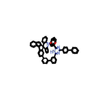 C1=CC(c2ccc3c(c2)C2(c4ccccc4N(c4ccccc4)c4ccccc42)c2ccc4ccccc4c2-3)CC(c2cccc(C3N=C(c4ccc(-c5ccccc5)cc4)N=C(c4ccccc4)N3)c2)=C1